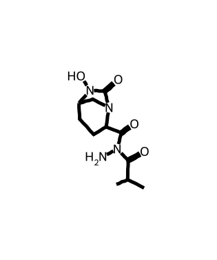 CC(C)C(=O)N(N)C(=O)C1CCC2CN1C(=O)N2O